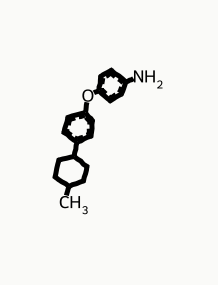 CC1CCC(c2ccc(Oc3ccc(N)cc3)cc2)CC1